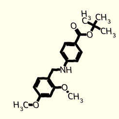 COc1ccc(CNc2ccc(C(=O)OC(C)(C)C)cc2)c(OC)c1